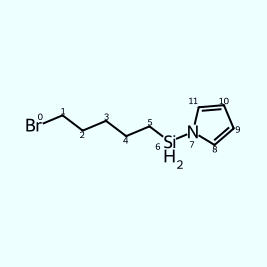 BrCCCCC[SiH2]n1cccc1